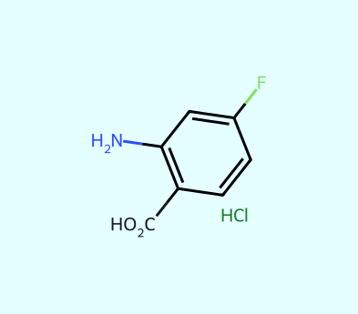 Cl.Nc1cc(F)ccc1C(=O)O